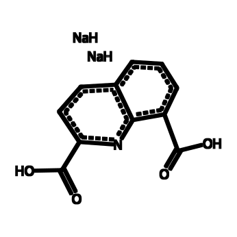 O=C(O)c1ccc2cccc(C(=O)O)c2n1.[NaH].[NaH]